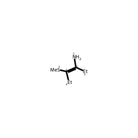 CC/C(N)=C(\CC)SC